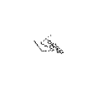 C=C1C(=C)[C@@H](N(CCCCCCCC/C=C\CCCCCCCC)S(=O)(=O)c2ccc(C)cc2)[C@@H]1N(CCCCCCCC/C=C\CCCCCCCC)S(=O)(=O)c1ccc(C)cc1